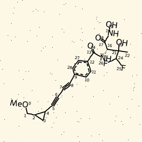 COCC1CC1C#CC#Cc1ccc(C(=O)N[C@H](C(=O)NO)C(C)(O)C(F)F)cc1